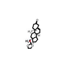 CC1([C@H]2CCC3[C@@H]4CC=C5CC(=O)CC[C@]5(C)C4CC[C@@]32C)OCCO1